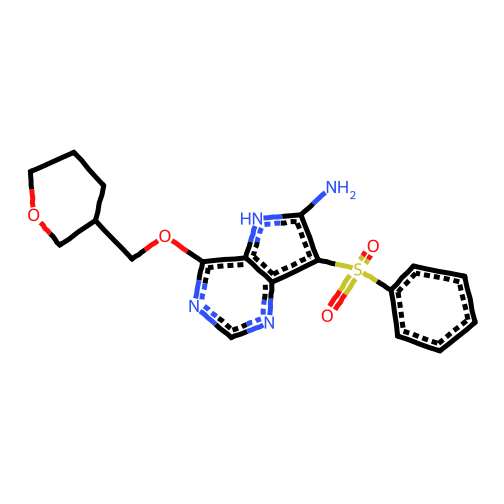 Nc1[nH]c2c(OCC3CCCOC3)ncnc2c1S(=O)(=O)c1ccccc1